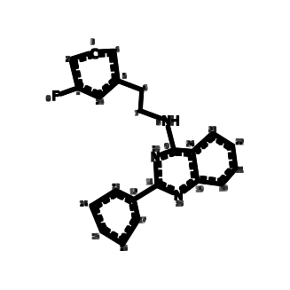 Fc1cccc(CCNc2nc(-c3ccccc3)nc3ccccc23)c1